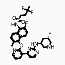 Cc1ccc2c(NS(=O)(=O)CCC(C)(F)F)c(F)ccc2c1Oc1ncccc1-c1ccnc(N[C@@H]2CNC[C@@H](F)C2)n1